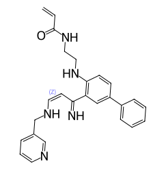 C=CC(=O)NCCNc1ccc(-c2ccccc2)cc1C(=N)/C=C\NCc1cccnc1